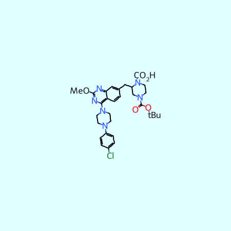 COc1nc(N2CCN(c3ccc(Cl)cc3)CC2)c2ccc(CC3CN(C(=O)OC(C)(C)C)CCN3C(=O)O)cc2n1